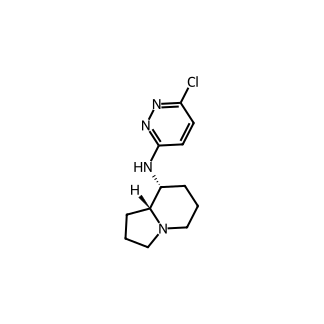 Clc1ccc(N[C@@H]2CCCN3CCC[C@H]23)nn1